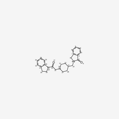 O=C1c2ccccc2CN1CC1CCN(CC(=O)N2CCc3ccccc32)CC1